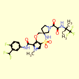 Cn1cc2c(c1C(=O)Nc1ccc(F)c(C(F)F)c1)OC[C@]1(CCN(C(=O)C(=O)NC(C)(C)C(F)(F)F)C1)NS2(=O)=O